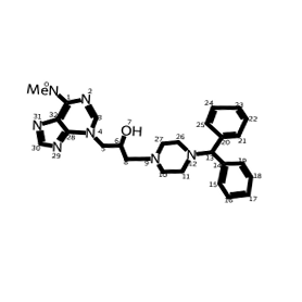 CNc1ncn(CC(O)CN2CCN(C(c3ccccc3)c3ccccc3)CC2)c2ncnc1-2